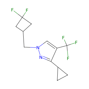 FC1(F)CC(Cn2cc(C(F)(F)F)c(C3CC3)n2)C1